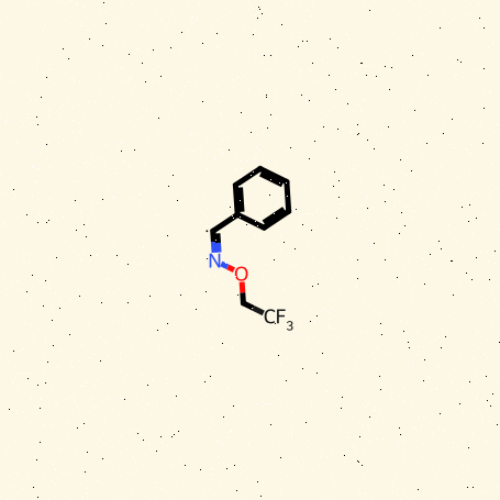 FC(F)(F)CO/N=[C]\c1ccccc1